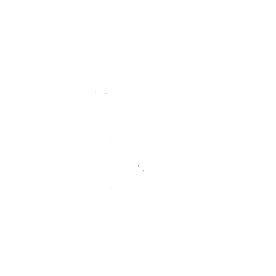 CC(C)(C)c1ccc(C(C)(C)C)c2c1NC1(CC1)C2=O